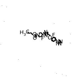 CCCCOC(=O)N1CCC(n2ncc(COc3ccc(-n4cnnn4)cc3F)n2)C(F)C1